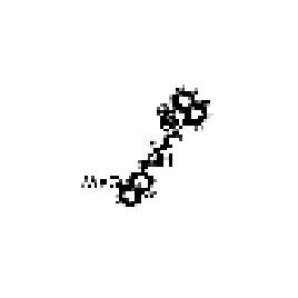 COc1cccc2c1CC(CNCCCCN1c3cccc4cccc(c34)S1(=O)=O)CC2